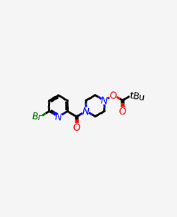 CC(C)(C)C(=O)ON1CCN(C(=O)c2cccc(Br)n2)CC1